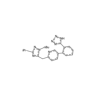 CCCCn1nc(C(C)C)nc1Cc1ccc(-c2ccccc2-c2nnn[nH]2)cn1